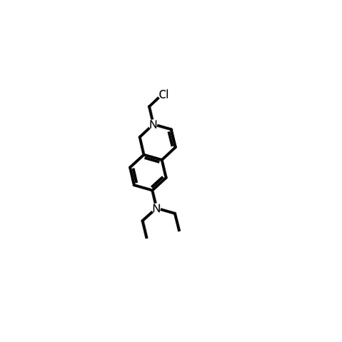 CCN(CC)c1ccc2c(c1)C=CN(CCl)C2